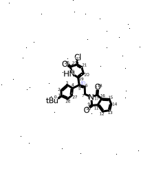 CC(C)(C)c1ccc(/C(=C\CN2C(=O)c3ccccc3C2=O)c2ccc(Cl)c(=O)[nH]2)cc1